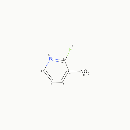 O=[N+]([O-])c1cccnc1F